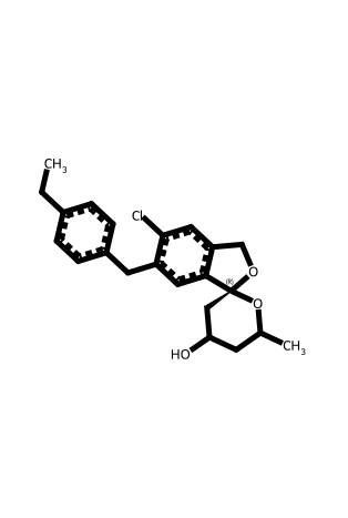 CCc1ccc(Cc2cc3c(cc2Cl)CO[C@@]32CC(O)CC(C)O2)cc1